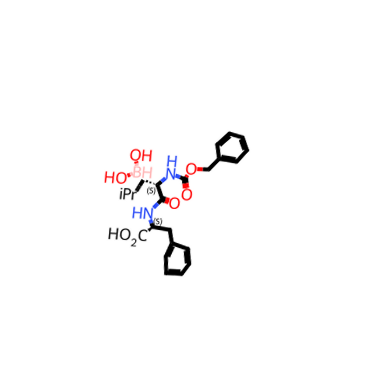 CC(C)C[C@H](NC(=O)OCc1ccccc1)C(=O)N[C@@H](Cc1ccccc1)C(=O)O.OBO